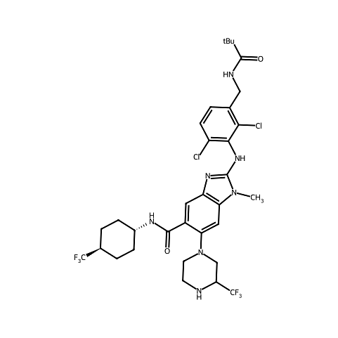 Cn1c(Nc2c(Cl)ccc(CNC(=O)C(C)(C)C)c2Cl)nc2cc(C(=O)N[C@H]3CC[C@H](C(F)(F)F)CC3)c(N3CCNC(C(F)(F)F)C3)cc21